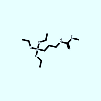 CCO[Si](CCCNC(=S)NC)(OCC)OCC